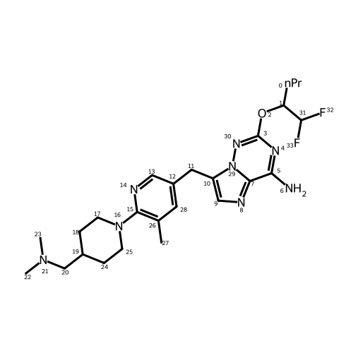 CCCC(Oc1nc(N)c2ncc(Cc3cnc(N4CCC(CN(C)C)CC4)c(C)c3)n2n1)C(F)F